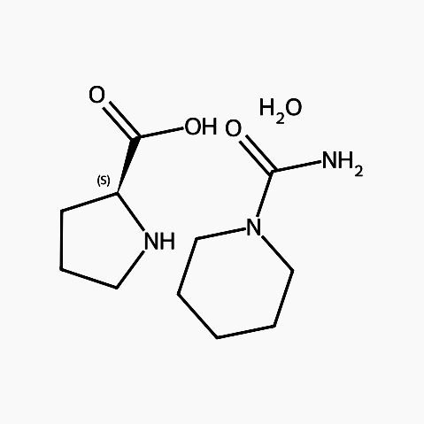 NC(=O)N1CCCCC1.O.O=C(O)[C@@H]1CCCN1